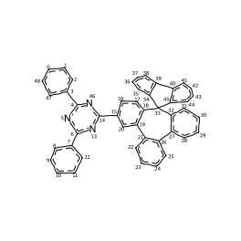 c1ccc(-c2nc(-c3ccccc3)nc(-c3ccc4c(c3)-c3ccccc3-c3ccccc3C43c4ccccc4-c4ccccc43)n2)cc1